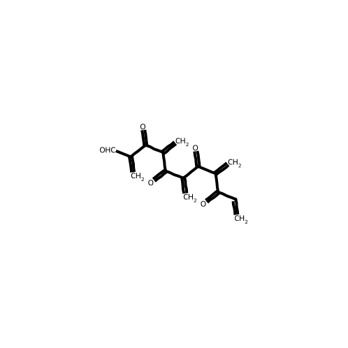 C=CC(=O)C(=C)C(=O)C(=C)C(=O)C(=C)C(=O)C(=C)C=O